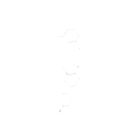 CCC[C@H]1CC[C@H](c2ccc(C(F)(F)OCCc3ccc(F)c(F)c3)c(F)c2)CC1